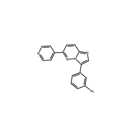 CC(=O)c1cccc(-c2cnc3ccc(-c4ccncc4)nn23)c1